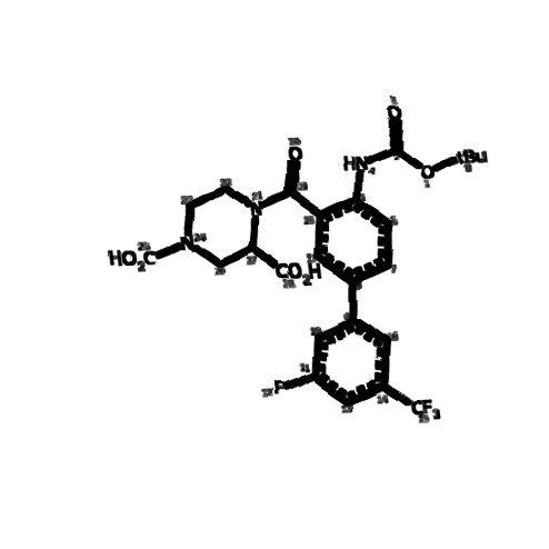 CC(C)(C)OC(=O)Nc1ccc(-c2cc(F)cc(C(F)(F)F)c2)cc1C(=O)N1CCN(C(=O)O)CC1C(=O)O